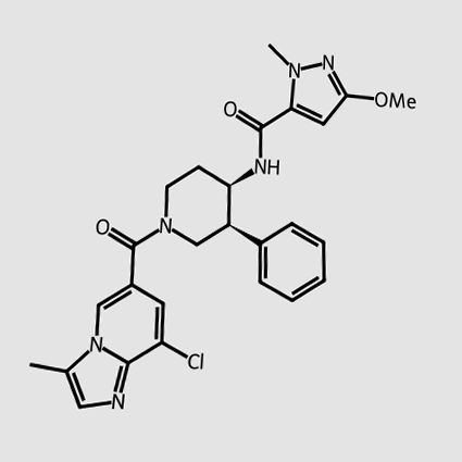 COc1cc(C(=O)N[C@@H]2CCN(C(=O)c3cc(Cl)c4ncc(C)n4c3)C[C@@H]2c2ccccc2)n(C)n1